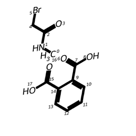 CNC(=O)CBr.O=C(O)c1ccccc1C(=O)O